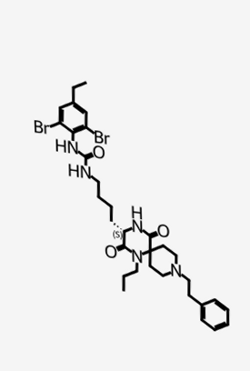 CCCN1C(=O)[C@H](CCCCNC(=O)Nc2c(Br)cc(CC)cc2Br)NC(=O)C12CCN(CCc1ccccc1)CC2